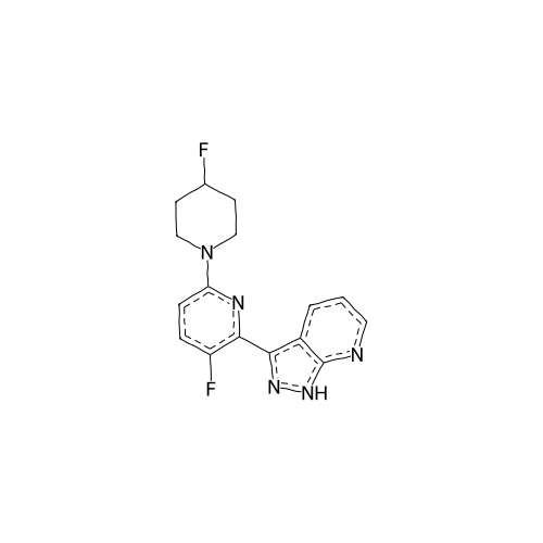 Fc1ccc(N2CCC(F)CC2)nc1-c1n[nH]c2ncccc12